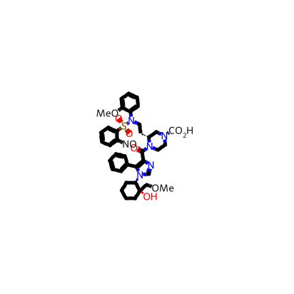 COC[C@]1(O)CCCC[C@H]1n1cnc(C(=O)N2CCN(C(=O)O)C[C@H]2CCN(c2ccccc2OC)S(=O)(=O)c2ccccc2[N+](=O)[O-])c1-c1ccccc1